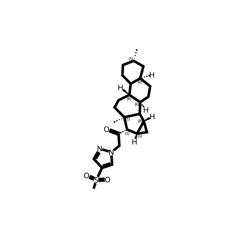 C[C@H]1CCC2[C@H](CC[C@H]3C4[C@@H]5C[C@@H]5[C@H](C(=O)Cn5cc(S(C)(=O)=O)cn5)[C@@]4(C)CC[C@H]23)C1